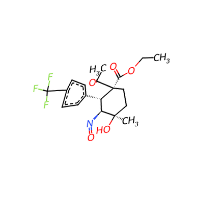 CCOC(=O)[C@]1(C(C)=O)CC[C@@](C)(O)[C@@H](N=O)[C@@H]1c1ccc(C(F)(F)F)cc1